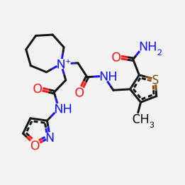 Cc1csc(C(N)=O)c1CNC(=O)C[N+]1(CC(=O)Nc2ccon2)CCCCCC1